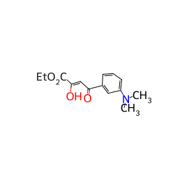 CCOC(=O)C(O)=CC(=O)c1cccc(N(C)C)c1